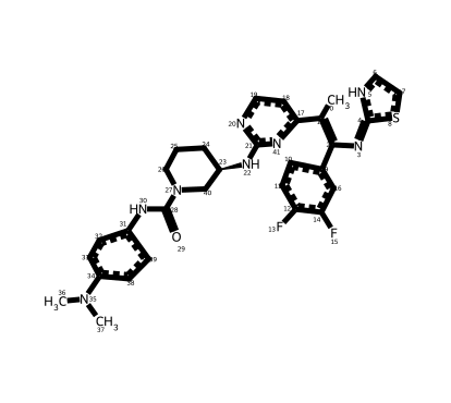 C/C(=C(\N=c1/[nH]ccs1)c1ccc(F)c(F)c1)c1ccnc(N[C@@H]2CCCN(C(=O)Nc3ccc(N(C)C)cc3)C2)n1